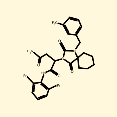 CC(C)c1cccc(C(C)C)c1NC(=O)C(CC(N)=O)N1C(=O)N(Cc2cccc(C(F)(F)F)c2)C2(CCCCC2)C1=O